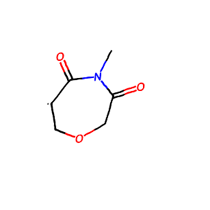 CN1C(=O)[CH]COCC1=O